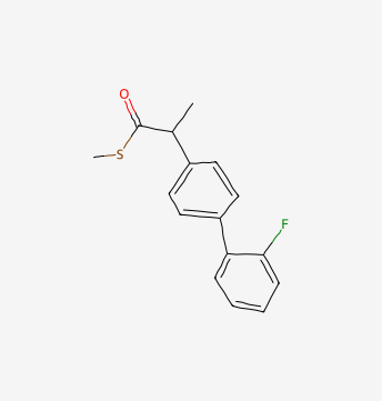 CSC(=O)C(C)c1ccc(-c2ccccc2F)cc1